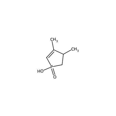 CC1=CP(=O)(O)CC1C